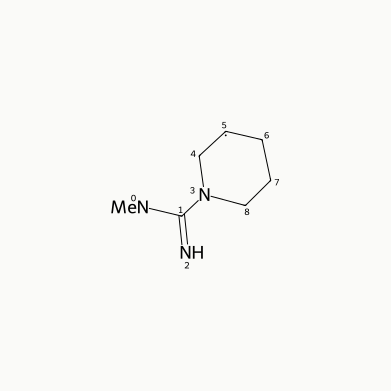 CNC(=N)N1C[CH]CCC1